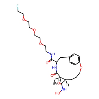 CC(C)C[C@H]1C(=O)NC(C(=O)NCCOCCOCCOCCF)Cc2ccc(cc2)OCCC[C@@H]1C(=O)NO